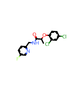 CC(Oc1ccc(Cl)cc1Cl)C(=O)NCc1ccc(F)cn1